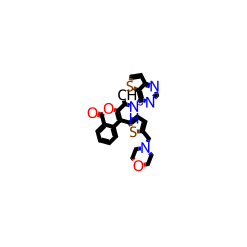 CC(Nc1ncnc2ccsc12)c1oc(=O)c2ccccc2c1-c1ccc(CN2CCOCC2)s1